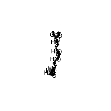 C=CC(=O)OCC(COC(=O)C(=C)C)OC(=O)NCC(C)(C)CC(C)CCNC(=O)OC(C)COC(=O)NCCC(C)(C)CC(C)CNC(=O)Nc1nc(=O)cc(C)[nH]1